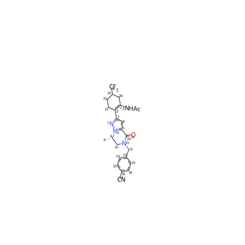 CC(=O)NC1=C(c2cc3n(n2)[C@@H](C)CN(Cc2ccc(C#N)cc2)C3=O)CCC(C(F)(F)F)C1